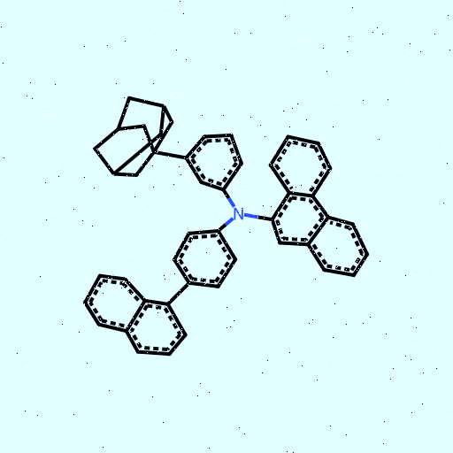 c1cc(N(c2ccc(-c3cccc4ccccc34)cc2)c2cc3ccccc3c3ccccc23)cc(C23CC4CC(CC(C4)C2)C3)c1